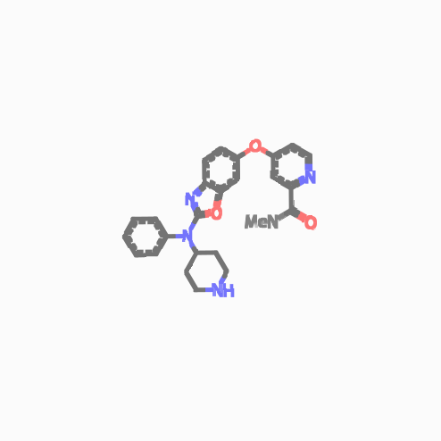 CNC(=O)c1cc(Oc2ccc3nc(N(c4ccccc4)C4CCNCC4)oc3c2)ccn1